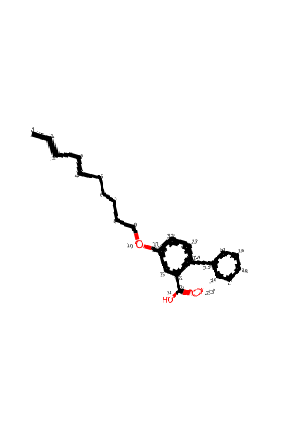 CCCCCCCCCCOc1ccc(-c2ccccc2)c(C(=O)O)c1